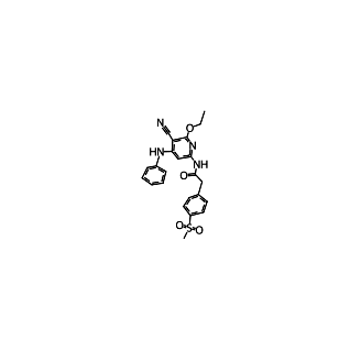 CCOc1nc(NC(=O)Cc2ccc(S(C)(=O)=O)cc2)cc(Nc2ccccc2)c1C#N